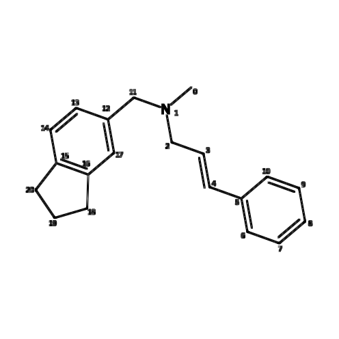 CN(C/C=C/c1ccccc1)Cc1ccc2c(c1)CCC2